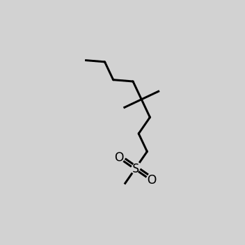 CCCCC(C)(C)CCCS(C)(=O)=O